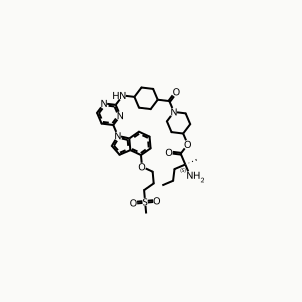 CCC[C@](C)(N)C(=O)OC1CCN(C(=O)C2CCC(Nc3nccc(-n4ccc5c(OCCCS(C)(=O)=O)cccc54)n3)CC2)CC1